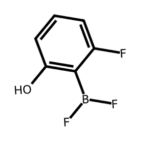 Oc1cccc(F)c1B(F)F